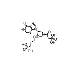 O=C(CP(=O)(O)O)N1CC(n2cnc3c(=O)[nH]cnc32)[C@H](OCCCP(=O)(O)O)C1